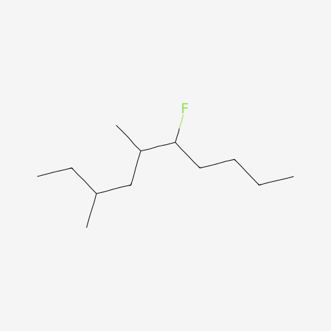 CCCCC(F)C(C)CC(C)CC